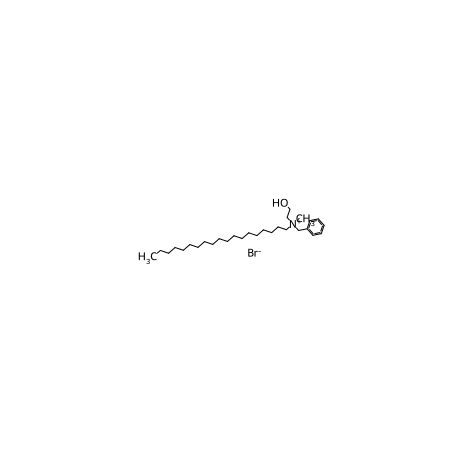 CCCCCCCCCCCCCCCCCCC[N+](C)(CCO)Cc1ccccc1.[Br-]